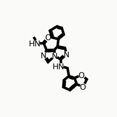 CNC(=O)c1ncn2c(NCc3cccc4c3OCO4)ncc(-c3ccccc3)c12